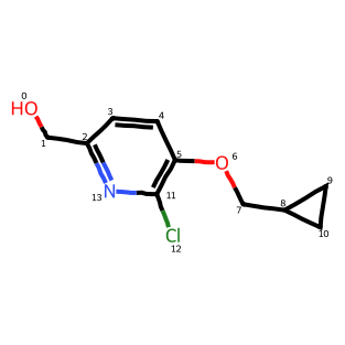 OCc1ccc(OCC2CC2)c(Cl)n1